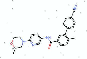 Cc1ccc(C(=O)Nc2ccc(N3CCO[C@H](C)C3)nc2)cc1-c1ccc(C#N)cc1